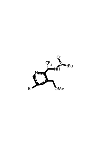 COCc1cc(Br)cnc1[C@@H](N[S+]([O-])C(C)(C)C)C(F)(F)F